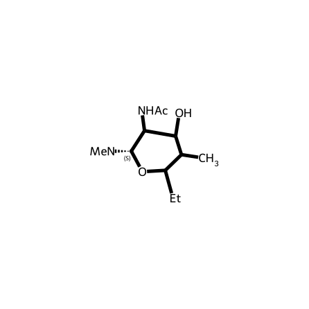 CCC1O[C@H](NC)C(NC(C)=O)C(O)C1C